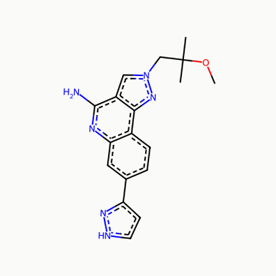 COC(C)(C)Cn1cc2c(N)nc3cc(-c4cc[nH]n4)ccc3c2n1